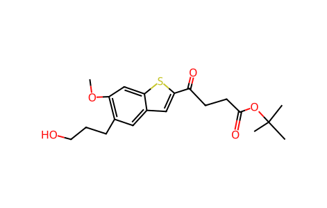 COc1cc2sc(C(=O)CCC(=O)OC(C)(C)C)cc2cc1CCCO